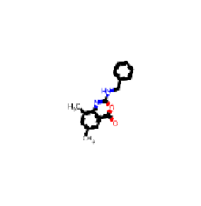 Cc1cc(C)c2nc(NCc3ccccc3)oc(=O)c2c1